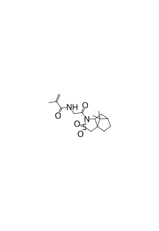 C=C(C)C(=O)NCC(=O)N1C2CC3CCC2(CS1(=O)=O)C3(C)C